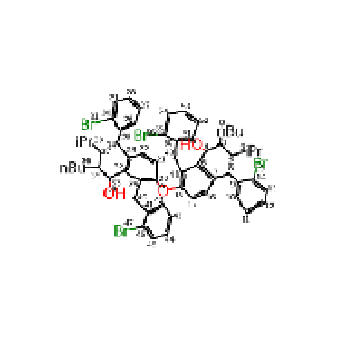 CCCCC(CC(C)C)C(O)c1c(Cc2ccccc2Br)ccc(Oc2ccc(Cc3ccccc3Br)c(C(O)C(CCCC)CC(C)C)c2Cc2ccccc2Br)c1Cc1ccccc1Br